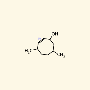 CC1/C=C\C(O)CC(C)CC1